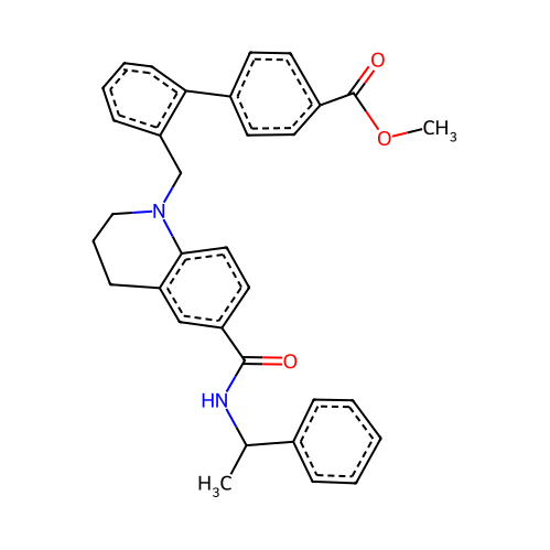 COC(=O)c1ccc(-c2ccccc2CN2CCCc3cc(C(=O)NC(C)c4ccccc4)ccc32)cc1